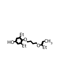 CC=C(CC)OCCCCOc1c(CC)cc(O)cc1CC